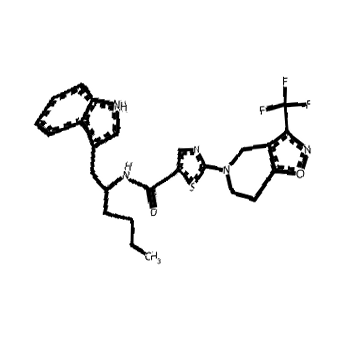 CCCCC(Cc1c[nH]c2ccccc12)NC(=O)c1cnc(N2CCc3onc(C(F)(F)F)c3C2)s1